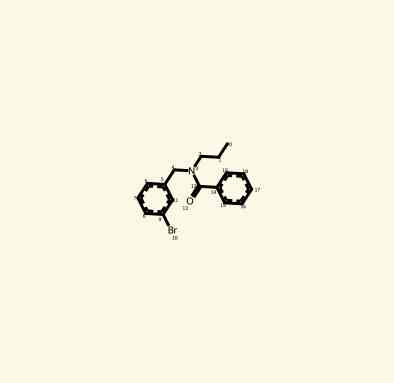 CCCN(Cc1cccc(Br)c1)C(=O)c1ccccc1